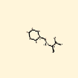 CC(C)C(C)OCC1CCCCC1